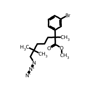 COC(=O)C(C)(CCCC(C)(C)CN=[N+]=[N-])c1cccc(Br)c1